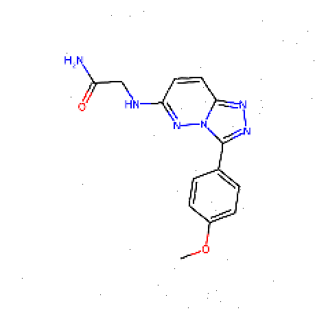 COc1ccc(-c2nnc3ccc(NCC(N)=O)nn23)cc1